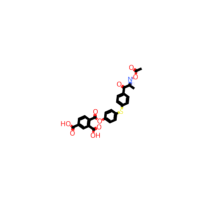 CC(=O)O/N=C(\C)C(=O)c1ccc(Sc2ccc(OC(=O)c3ccc(C(=O)O)cc3C(=O)O)cc2)cc1